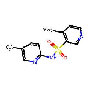 COc1ccncc1S(=O)(=O)Nc1ccc([N+](=O)[O-])cn1